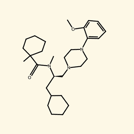 COc1ccccc1N1CCN(C[C@@H](CC2CCCCC2)N(C)C(=O)C2(C)CCCCC2)CC1